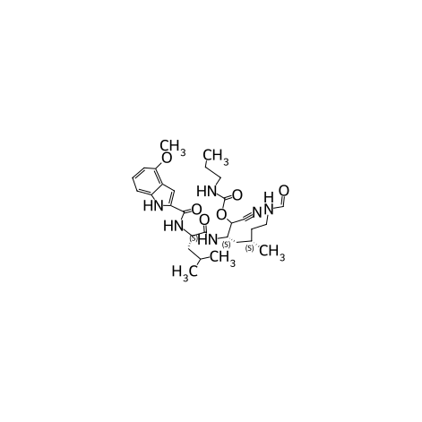 CCCNC(=O)OC(C#N)[C@H](C[C@@H](C)CCNC=O)NC(=O)[C@H](CC(C)C)NC(=O)c1cc2c(OC)cccc2[nH]1